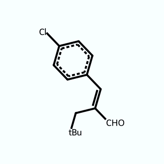 CC(C)(C)CC(C=O)=Cc1ccc(Cl)cc1